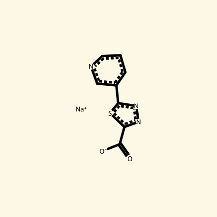 O=C([O-])c1nnc(-c2cccnc2)s1.[Na+]